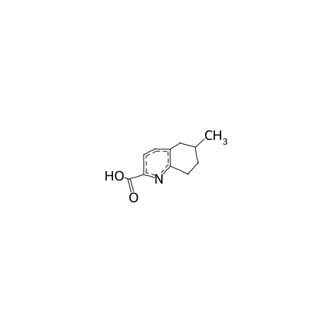 CC1CCc2nc(C(=O)O)ccc2C1